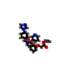 CC(C)(C)OC(=O)COc1cccc(CN(Cc2ccc(-n3ccnc3)cc2)S(=O)(=O)c2cccnc2)c1